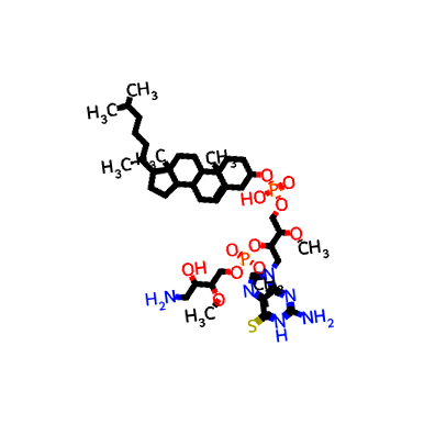 COC(COP(=O)(OC)OC(Cn1cnc2c(=S)[nH]c(N)nc21)C(COP(=O)(O)OC1CCC2(C)C(=CCC3C2CCC2(C)C3CCC2[C@H](C)CCCC(C)C)C1)OC)C(O)CN